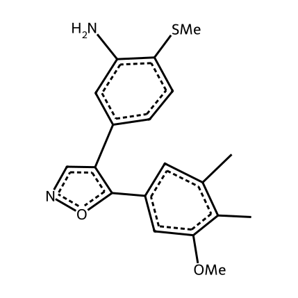 COc1cc(-c2oncc2-c2ccc(SC)c(N)c2)cc(C)c1C